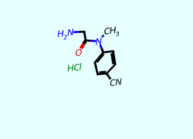 CN(C(=O)CN)c1ccc(C#N)cc1.Cl